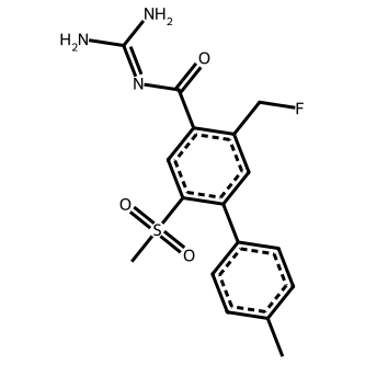 Cc1ccc(-c2cc(CF)c(C(=O)N=C(N)N)cc2S(C)(=O)=O)cc1